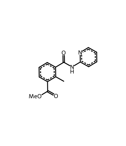 COC(=O)c1cccc(C(=O)Nc2ccccn2)c1C